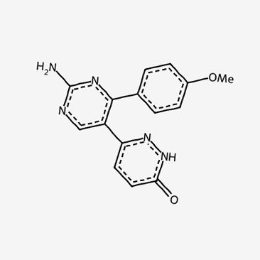 COc1ccc(-c2nc(N)ncc2-c2ccc(=O)[nH]n2)cc1